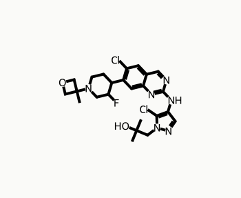 CC(C)(O)Cn1ncc(Nc2ncc3cc(Cl)c(C4CCN(C5(C)COC5)CC4F)cc3n2)c1Cl